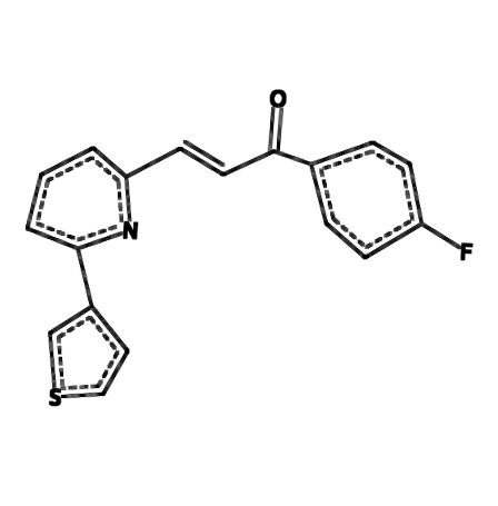 O=C(/C=C/c1cccc(-c2ccsc2)n1)c1ccc(F)cc1